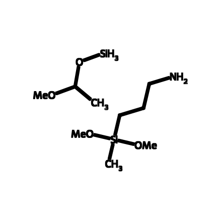 COC(C)O[SiH3].CO[Si](C)(CCCN)OC